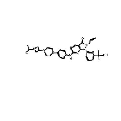 C=CCn1c(=O)c2cnc(Nc3ccc(N4CCN(C5CN(C(C)=O)C5)CC4)cc3)nc2n1-c1cccc(C(C)(C)O)n1